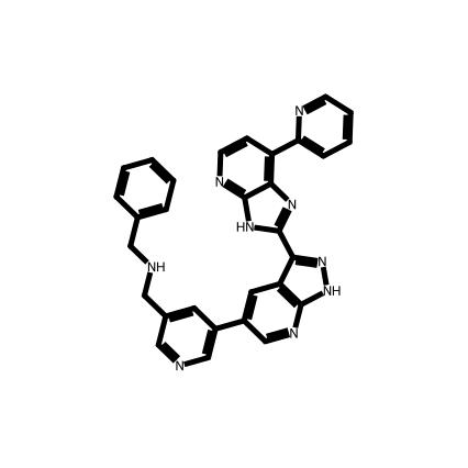 c1ccc(CNCc2cncc(-c3cnc4[nH]nc(-c5nc6c(-c7ccccn7)ccnc6[nH]5)c4c3)c2)cc1